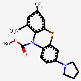 CC(C)(C)OC(=O)N1c2ccc(N3CCCC3)cc2Sc2cc(C(F)(F)F)cc([N+](=O)[O-])c21